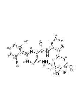 CC[C@]1(O)[C@H](C)C[C@H](c2ccncc2NC(=O)c2nc(-c3c(F)cccc3F)ncc2N)C[C@@H]1O